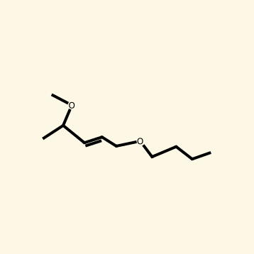 CCCCOCC=CC(C)OC